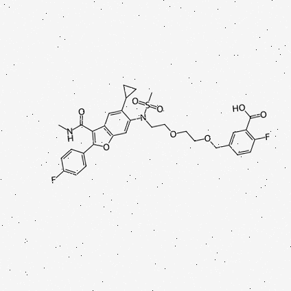 CNC(=O)c1c(-c2ccc(F)cc2)oc2cc(N(CCOCCOCc3ccc(F)c(C(=O)O)c3)S(C)(=O)=O)c(C3CC3)cc12